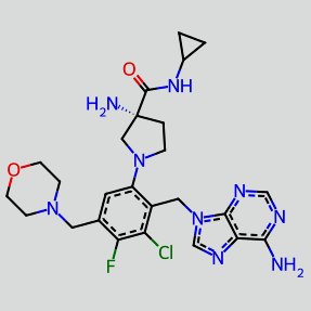 Nc1ncnc2c1ncn2Cc1c(N2CC[C@](N)(C(=O)NC3CC3)C2)cc(CN2CCOCC2)c(F)c1Cl